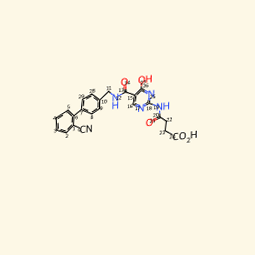 N#Cc1ccccc1-c1ccc(CNC(=O)c2cnc(NC(=O)CCC(=O)O)nc2O)cc1